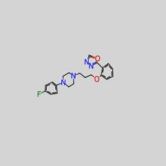 Fc1ccc(N2CCN(CCCOc3ccccc3-c3nnco3)CC2)cc1